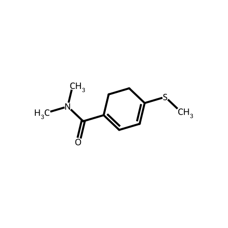 CSC1=CC=C(C(=O)N(C)C)CC1